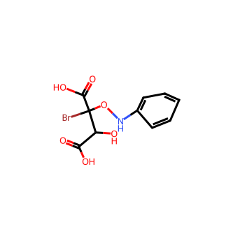 O=C(O)C(O)C(Br)(ONc1ccccc1)C(=O)O